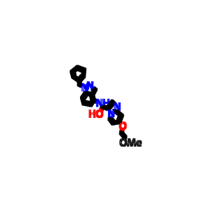 COCCOc1ccn2c(C(O)Nc3cccc4c3cnn4Cc3ccccc3)cnc2c1